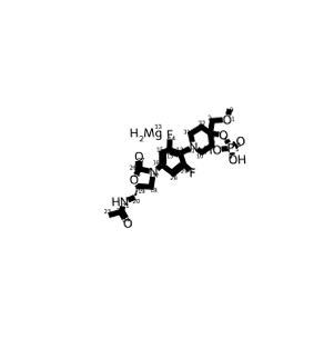 COCC1(OP(=O)(O)O)CCN(c2c(F)cc(N3C[C@H](CNC(C)=O)OC3=O)cc2F)CC1.[MgH2]